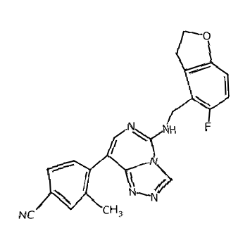 Cc1cc(C#N)ccc1-c1cnc(NCc2c(F)ccc3c2CCO3)n2cnnc12